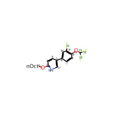 CCCCCCCCOc1ccc(-c2ccc(OC(F)F)c(F)c2)cn1